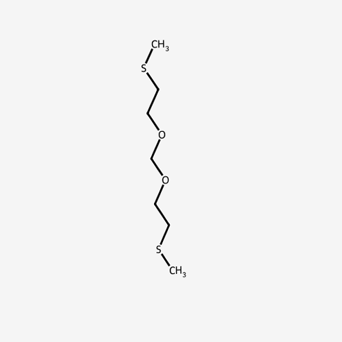 CSCCOCOCCSC